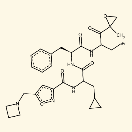 CC(C)CC(NC(=O)[C@H](Cc1ccccc1)NC(=O)C(CC1CC1)NC(=O)c1cc(CN2CCC2)on1)C(=O)C1(C)CO1